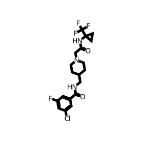 O=C(CN1CCC(CNC(=O)c2cc(F)cc(Cl)c2)CC1)NC1(C(F)(F)F)CC1